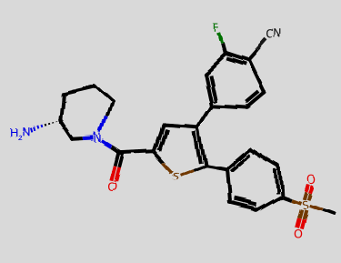 CS(=O)(=O)c1ccc(-c2sc(C(=O)N3CCC[C@@H](N)C3)cc2-c2ccc(C#N)c(F)c2)cc1